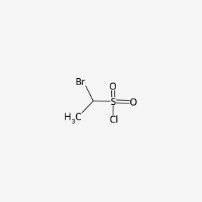 CC(Br)S(=O)(=O)Cl